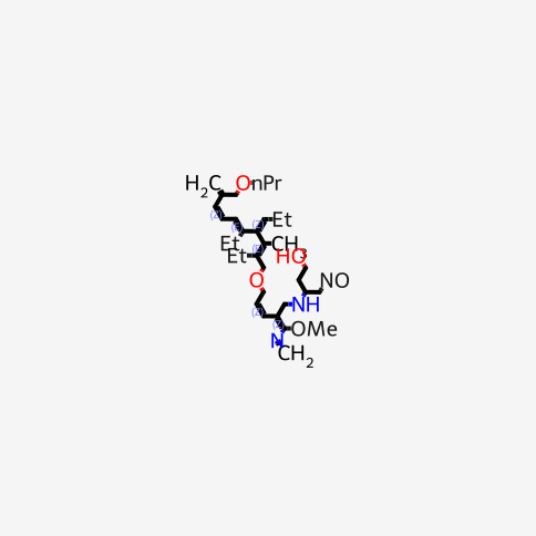 C=N/C(OC)=C(\C=C/COC/C(CC)=C(C)/C(=C\CC)C(=C/C=C\C(=C)COCCC)/CC)CNC(CCO)CN=O